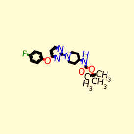 CC(C)(C)OC(=O)NC1CCN(c2nccc(Oc3ccc(F)cc3)n2)CC1